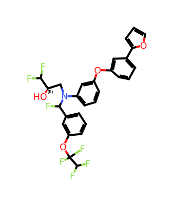 O[C@H](CN(c1cccc(Oc2cccc(-c3ccco3)c2)c1)C(F)c1cccc(OC(F)(F)C(F)F)c1)C(F)F